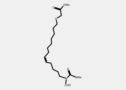 CNC(=O)N(C=O)CCCC/C=C\CCCCCCCOCC(=O)OC